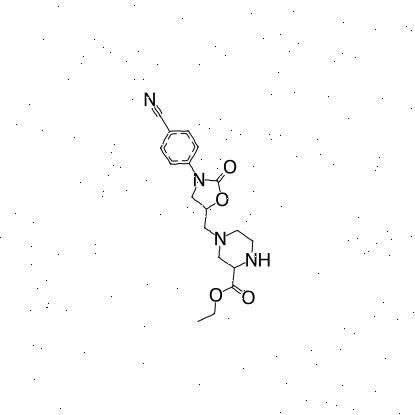 CCOC(=O)C1CN(CC2CN(c3ccc(C#N)cc3)C(=O)O2)CCN1